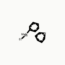 CNc1ccccc1.C[CH2][Rh].c1ccncc1